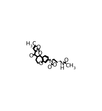 CC(=O)NC[C@H]1CN(c2ccc3c(c2)OCCC(C(=O)c2cc(C)on2)C3=O)C(=O)O1